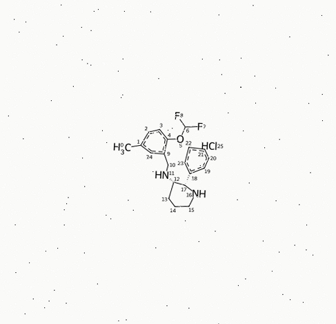 Cc1ccc(OC(F)F)c(CN[C@H]2CCCN[C@H]2c2ccccc2)c1.Cl